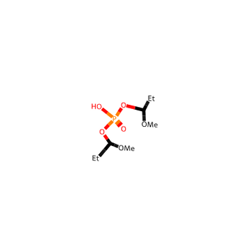 CCC(OC)OP(=O)(O)OC(CC)OC